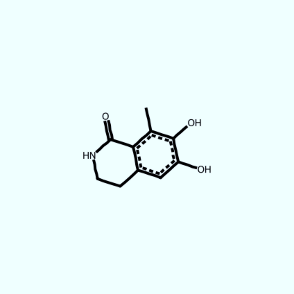 Cc1c(O)c(O)cc2c1C(=O)NCC2